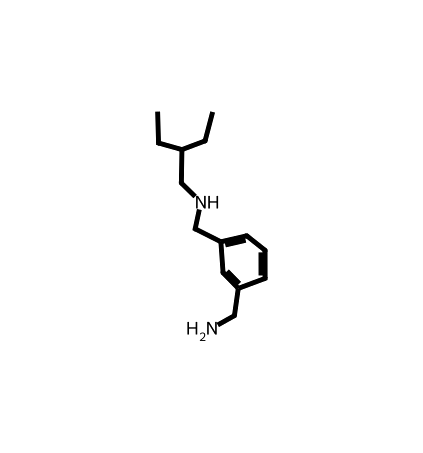 CCC(CC)CNCc1cccc(CN)c1